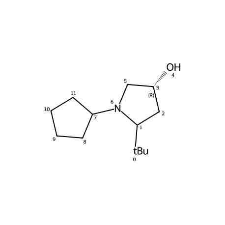 CC(C)(C)C1C[C@@H](O)CN1C1CCCC1